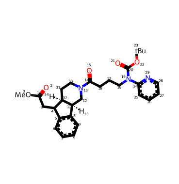 COC(=O)CC1c2ccccc2[C@@H]2CN(C(=O)CCCN(C(=O)OC(C)(C)C)c3ccccn3)CC[C@H]12